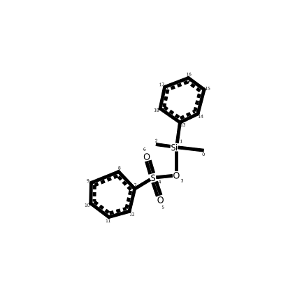 C[Si](C)(OS(=O)(=O)c1ccccc1)c1ccccc1